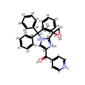 O=C(c1ccncc1)c1cn(C(c2ccccc2)(c2ccccc2)c2ccccc2)c(C2(C(F)(F)F)CO2)n1